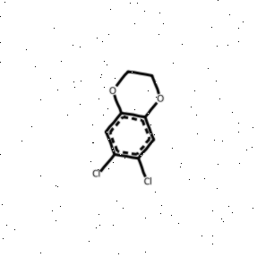 Clc1cc2c(cc1Cl)OCCO2